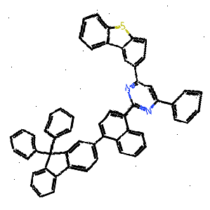 c1ccc(-c2cc(-c3ccc4sc5ccccc5c4c3)nc(-c3ccc(-c4ccc5c(c4)C(c4ccccc4)(c4ccccc4)c4ccccc4-5)c4ccccc34)n2)cc1